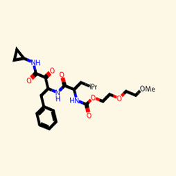 COCCOCCOC(=O)NC(CC(C)C)C(=O)NC(Cc1ccccc1)C(=O)C(=O)NC1CC1